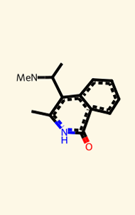 CNC(C)c1c(C)[nH]c(=O)c2ccccc12